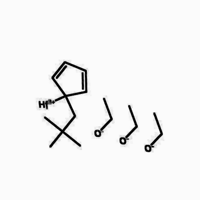 CC(C)(C)C[C]1([Hf+3])C=CC=C1.CC[O-].CC[O-].CC[O-]